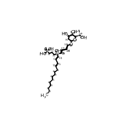 CCCCCCCCCCCCCC[N+](C)(CCCCO[C@H]1C[C@@H](O)[C@H](O)[C@@H](CO)O1)CCCP(=O)(O)O